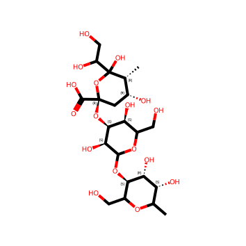 CC1OC(CO)[C@@H](OC2OC(CO)[C@H](O)[C@H](O[C@]3(C(=O)O)C[C@@H](O)[C@@H](C)C(O)(C(O)CO)O3)[C@@H]2O)[C@H](O)[C@@H]1O